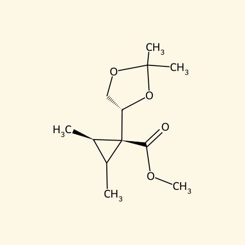 COC(=O)[C@@]1([C@@H]2COC(C)(C)O2)C(C)[C@H]1C